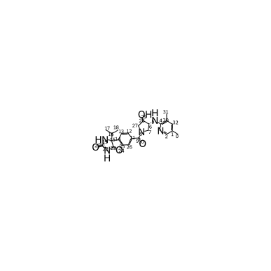 Cc1cnc(N[C@@H]2CN(C(=O)c3ccc([C@@]4(C(C)C)NC(=O)NC4=O)cc3)C[C@H]2O)c(C)c1